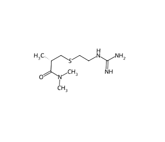 C[C@H](CSCCNC(=N)N)C(=O)N(C)C